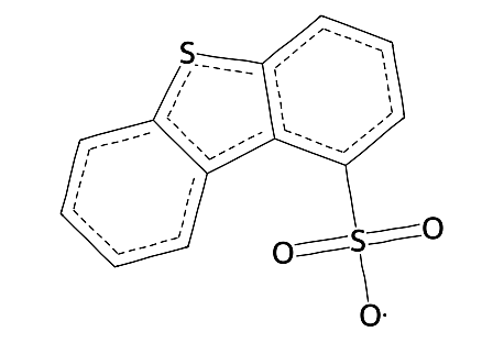 [O]S(=O)(=O)c1cccc2sc3ccccc3c12